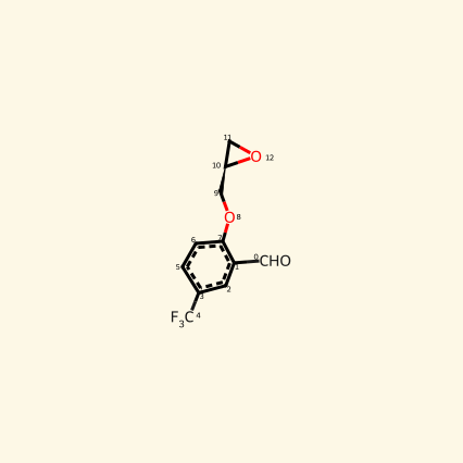 O=Cc1cc(C(F)(F)F)ccc1OC[C@H]1CO1